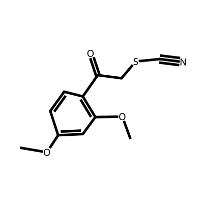 COc1ccc(C(=O)CSC#N)c(OC)c1